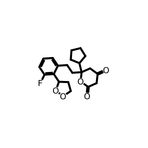 O=C1CC(=O)OC(CCc2cccc(F)c2C2CCOO2)(C2CCCC2)C1